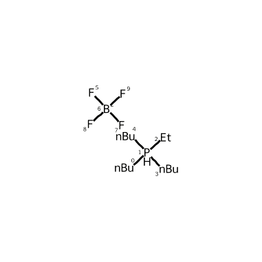 CCCC[PH](CC)(CCCC)CCCC.F[B-](F)(F)F